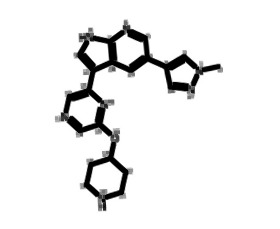 Cn1cc(-c2cnc3[nH]cc(-c4cncc(OC5CCNCC5)n4)c3c2)cn1